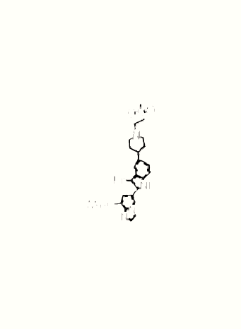 COc1cc(-c2[nH]c3ccc(C4CCN(CCS(C)(=O)=O)CC4)cc3c2C(C)C)cn2ccnc12